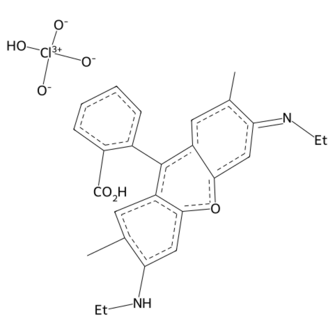 CCN=c1cc2oc3cc(NCC)c(C)cc3c(-c3ccccc3C(=O)O)c-2cc1C.[O-][Cl+3]([O-])([O-])O